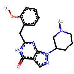 CC(=O)N1CCCC(n2ncc3c(=O)[nH]c(Cc4ccccc4OC(F)(F)F)nc32)C1